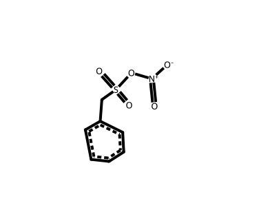 O=[N+]([O-])OS(=O)(=O)Cc1ccccc1